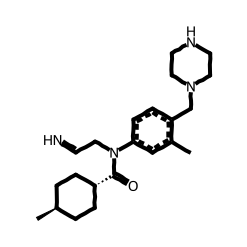 Cc1cc(N(CC=N)C(=O)[C@H]2CC[C@H](C)CC2)ccc1CN1CCNCC1